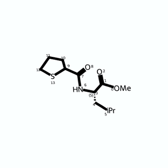 COC(=O)[C@H](CC(C)C)NC(=O)C1CCCS1